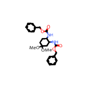 COC1(OC)CCC(NC(=O)OCc2ccccc2)C(NC(=O)OCc2ccccc2)C1